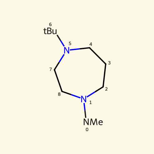 CNN1CCCN(C(C)(C)C)CC1